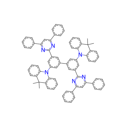 CC1(C)c2ccccc2N(c2cc(-c3cc(-c4nc(-c5ccccc5)cc(-c5ccccc5)n4)cc(N4c5ccccc5C(C)(C)c5ccccc54)c3)cc(-c3nc(-c4ccccc4)cc(-c4ccccc4)n3)c2)c2ccccc21